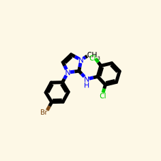 CN1C=CN(c2ccc(Br)cc2)C1Nc1c(Cl)cccc1Cl